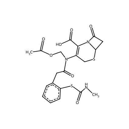 CNC(=O)Sc1ccccc1CC(=O)N(COC(C)=O)C1=C(C(=O)O)N2C(=O)CC2SC1